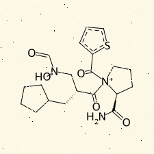 NC(=O)[C@@H]1CCC[N+]1(C(=O)c1cccs1)C(=O)[C@H](CC1CCCC1)CN(O)C=O